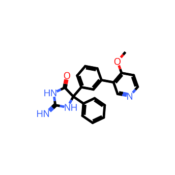 COc1ccncc1-c1cccc(C2(c3ccccc3)NC(=N)NC2=O)c1